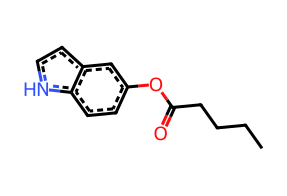 CCCCC(=O)Oc1ccc2[nH]ccc2c1